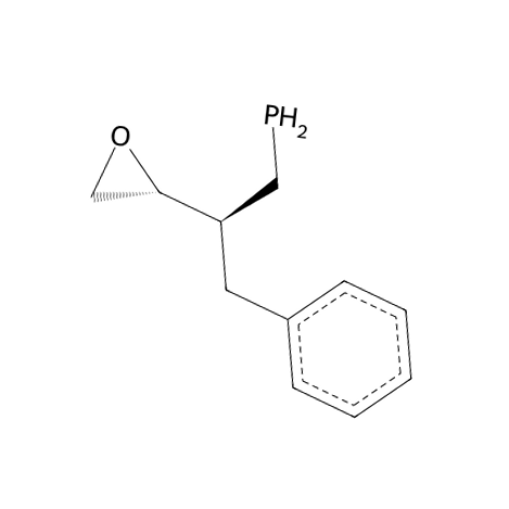 PC[C@@H](Cc1ccccc1)[C@@H]1CO1